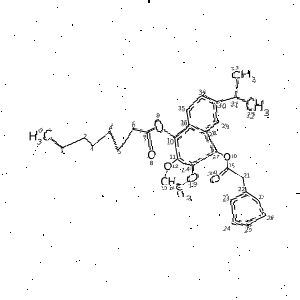 CCCCCCCC(=O)Oc1c(OC)c(OC)c(OC(=O)Cc2ccccc2)c2cc(C(C)C)ccc12